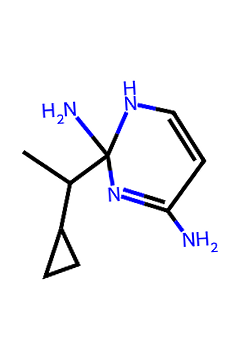 CC(C1CC1)C1(N)N=C(N)C=CN1